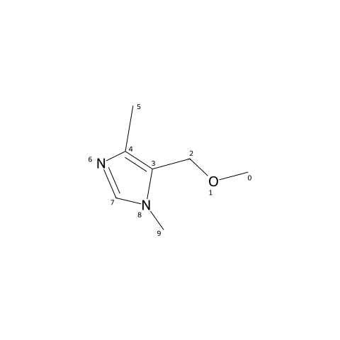 COCc1c(C)ncn1C